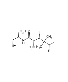 CC(C)CC(NC(=O)C(N)C(F)C(C)(C)C(F)F)C(=O)O